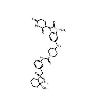 Cn1c(=O)n(C2CCC(=O)NC2=O)c2ccc(NC3CCN(C(=O)Nc4cccc(CS(=O)(=O)N5CCCCC5(C)C)c4)CC3)cc21